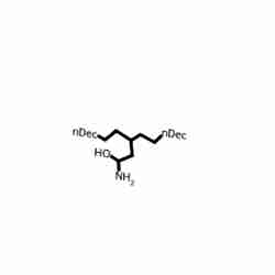 CCCCCCCCCCCCC(CCCCCCCCCCCC)CC(N)O